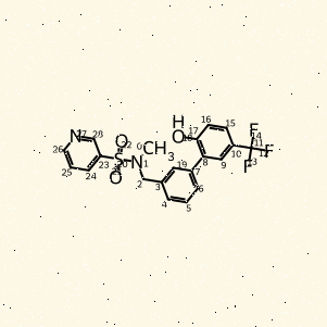 CN(Cc1cccc(-c2cc(C(F)(F)F)ccc2O)c1)S(=O)(=O)c1cccnc1